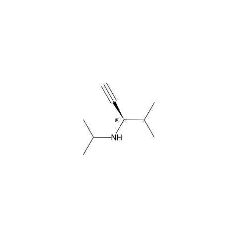 C#C[C@H](NC(C)C)C(C)C